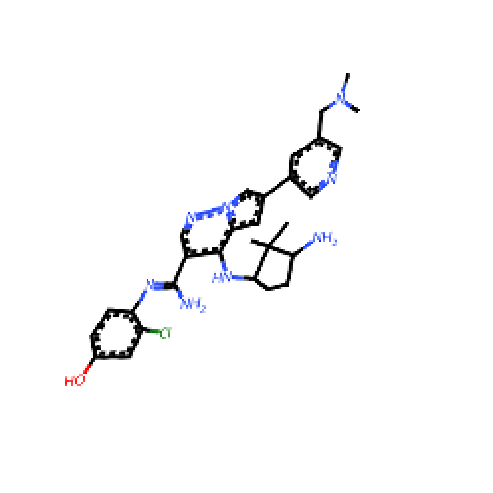 CN(C)Cc1cncc(-c2cc3c(NC4CCC(N)C4(C)C)c(/C(N)=N/c4ccc(O)cc4Cl)cnn3c2)c1